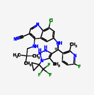 BC1=C([C@@H](Nc2cc(Cl)c3ncc(C#N)c(NCC(C)(C)C)c3c2)c2ccc(F)nc2C)NNN1C1(C(F)(F)F)CC1